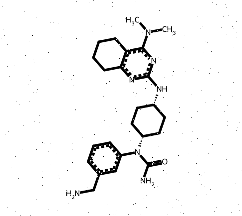 CN(C)c1nc(N[C@H]2CC[C@@H](N(C(N)=O)c3cccc(CN)c3)CC2)nc2c1CCCC2